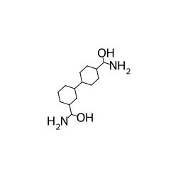 NC(O)C1CCC(C2CCCC(C(N)O)C2)CC1